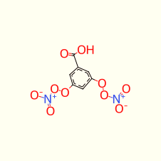 O=C(O)c1cc(OO[N+](=O)[O-])cc(OO[N+](=O)[O-])c1